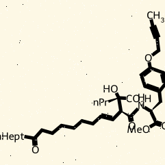 CC#CCOc1ccc(C[C@H](NC(=O)[C@@H](/C=C/CCCCCCC(=O)CCCCCCC)[C@@](O)(CCC)C(=O)O)C(=O)OC)cc1